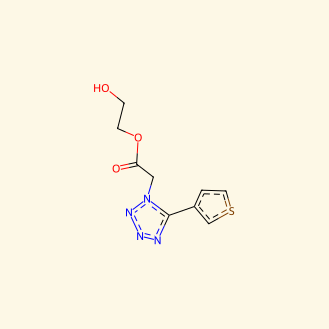 O=C(Cn1nnnc1-c1ccsc1)OCCO